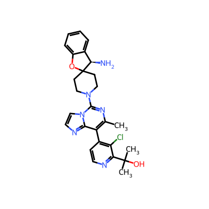 Cc1nc(N2CCC3(CC2)Oc2ccccc2[C@H]3N)n2ccnc2c1-c1ccnc(C(C)(C)O)c1Cl